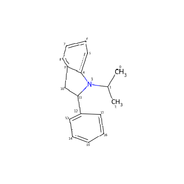 CC(C)N1c2ccccc2CC1c1ccccc1